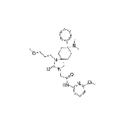 COCCCN1C(=O)N(CC(=O)Nc2cccc(OC)n2)C[C@]12CC[C@@](c1ccccc1)(N(C)C)CC2